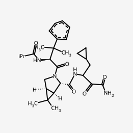 CC(C)C(=O)N[C@H](C(=O)N1C[C@H]2[C@@H]([C@H]1C(=O)NC(CC1CC1)C(=O)C(N)=O)C2(C)C)C(C)(C)c1ccccc1